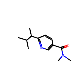 CC(C)C(C)c1ccc(C(=O)N(C)C)cn1